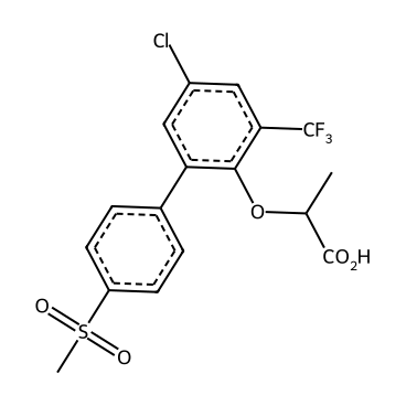 CC(Oc1c(-c2ccc(S(C)(=O)=O)cc2)cc(Cl)cc1C(F)(F)F)C(=O)O